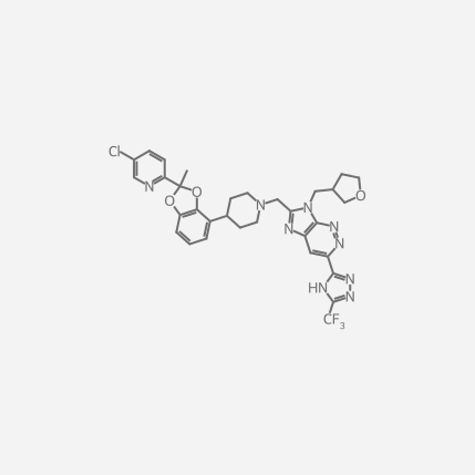 CC1(c2ccc(Cl)cn2)Oc2cccc(C3CCN(Cc4nc5cc(-c6nnc(C(F)(F)F)[nH]6)nnc5n4CC4CCOC4)CC3)c2O1